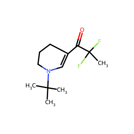 CC(F)(F)C(=O)C1=CN(C(C)(C)C)CCC1